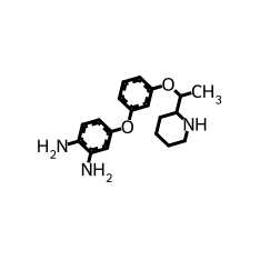 CC(Oc1cccc(Oc2ccc(N)c(N)c2)c1)C1CCCCN1